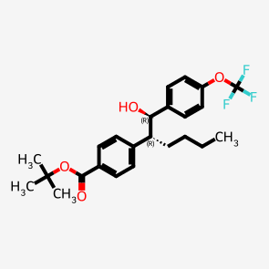 CCCC[C@H](c1ccc(C(=O)OC(C)(C)C)cc1)[C@@H](O)c1ccc(OC(F)(F)F)cc1